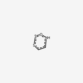 c1csso[nH]1